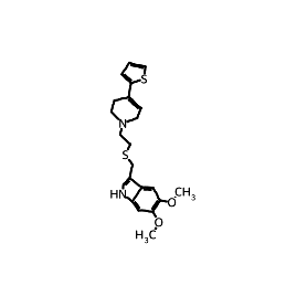 COc1cc2[nH]cc(CSCCN3CC=C(c4cccs4)CC3)c2cc1OC